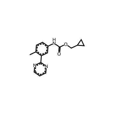 Cc1ccc(NC(=O)OCC2CC2)cc1-c1ncccn1